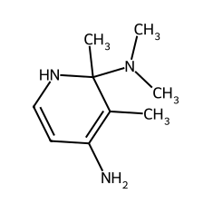 CC1=C(N)C=CNC1(C)N(C)C